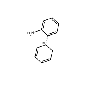 Nc1ccccc1[C@H]1C=CC=CC1